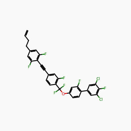 C=CCCc1cc(F)c(C#Cc2ccc(C(F)(F)Oc3ccc(-c4cc(Cl)c(F)c(Cl)c4)c(F)c3)c(F)c2)c(F)c1